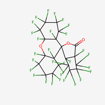 O=C1OC2(C3(F)C(F)(F)C(F)(F)C(F)(F)C(F)(F)C3(F)OC3(F)C(F)(F)C(F)(F)C(F)(F)C(F)(F)C32F)C2(F)C(F)(F)C(F)(F)C(F)(F)C(F)(F)C12F